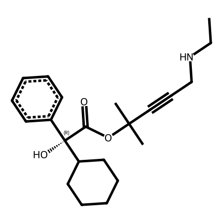 CCNCC#CC(C)(C)OC(=O)[C@](O)(c1ccccc1)C1CCCCC1